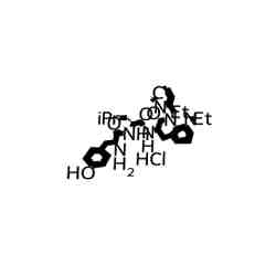 CCN(CC)c1cccc2c1N(Cc1ccccn1)C(=O)C(NC(=O)[C@@H](CC(C)C)NC(=O)[C@H](N)Cc1ccc(O)cc1)C2.Cl